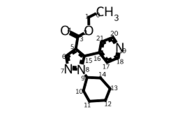 CCOC(=O)c1cnn(C2CCCCC2)c1-c1ccncc1